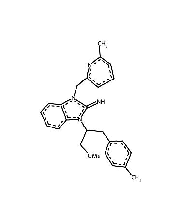 COCC(Cc1ccc(C)cc1)n1c(=N)n(Cc2cccc(C)n2)c2ccccc21